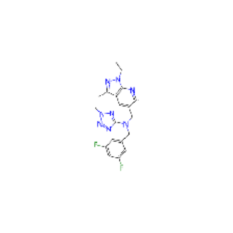 CCn1nc(C)c2cc(CN(Cc3cc(F)cc(F)c3)c3nnn(C)n3)[c]nc21